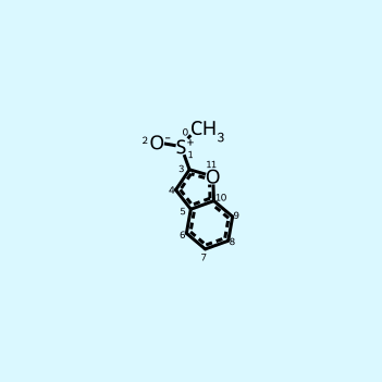 C[S+]([O-])c1cc2ccccc2o1